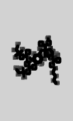 CCCCCOC(=O)O[C@@H](C)CC(N)(Cc1ccc(OC(=O)OC(C)(C)CC)c(OC(=O)OC(C)(C)CC)c1)C(=O)OC